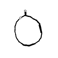 O=C1CC/C=C\CCCCCCCCCCO1